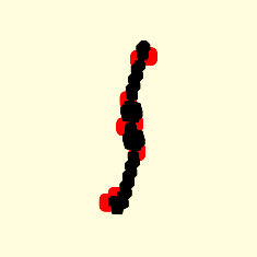 C=CC(=O)OCCCCCCCOc1ccc(OC(=O)c2ccc(OCCCCCCCCC3CC(=C)C(=O)O3)cc2)cc1